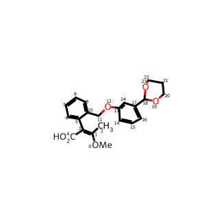 COC(C)=C(C(=O)O)c1ccccc1COc1cccc(C2OCCCO2)c1